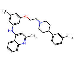 Cc1cc(Nc2cc(OCCN3CCC(c4cccc(C(F)(F)F)c4)CC3)cc(C(F)(F)F)c2)c2ccccc2n1